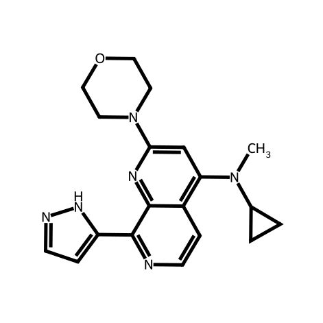 CN(c1cc(N2CCOCC2)nc2c(-c3ccn[nH]3)nccc12)C1CC1